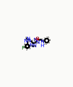 Fc1ccc2c(c1)-c1ncnn1Cc1c(-c3noc(CNC4CCCCC4)n3)ncn1-2